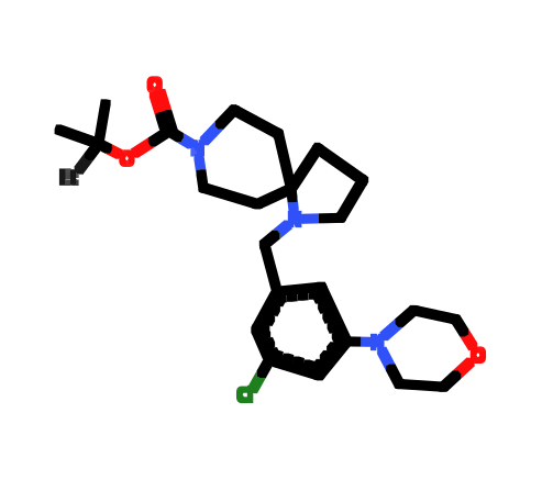 CCC(C)(C)OC(=O)N1CCC2(CCCN2Cc2cc(Cl)cc(N3CCOCC3)c2)CC1